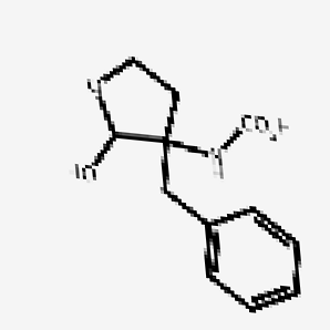 O=C(O)NC1(Cc2ccccc2)CCOC1O